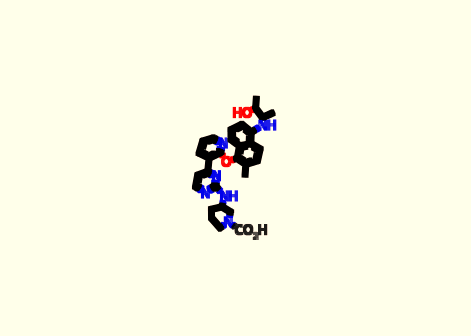 Cc1ccc2c(NC(C)C(C)O)cccc2c1Oc1ncccc1-c1ccnc(NC2CCCN(C(=O)O)C2)n1